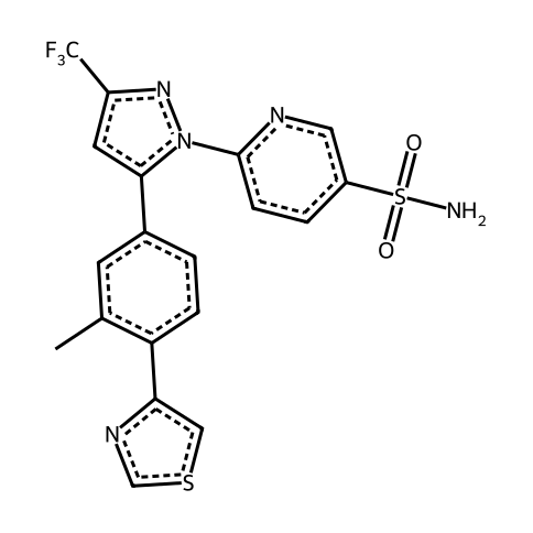 Cc1cc(-c2cc(C(F)(F)F)nn2-c2ccc(S(N)(=O)=O)cn2)ccc1-c1cscn1